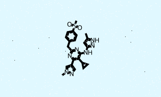 Cc1cc(Nc2nc(Cc3ccc(S(C)(=O)=O)cc3)nc(-c3cnn(C)c3)c2C2CC2)n[nH]1